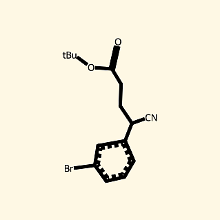 CC(C)(C)OC(=O)CCC(C#N)c1cccc(Br)c1